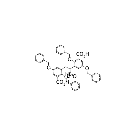 O=C(O)c1cc(OCc2ccccc2)cc(CC(c2cc(OCc3ccccc3)cc(C(=O)O)c2OCc2ccccc2)[SH](=O)=O)c1OCc1ccccc1